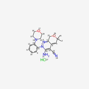 CC1(C)C=C2C(=NN(c3ccccc3N3CCOCC3)C(N)=C2C#N)CO1.Cl